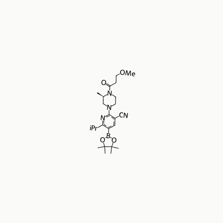 COCCC(=O)N1CCN(c2nc(C(C)C)c(B3OC(C)(C)C(C)(C)O3)cc2C#N)C[C@H]1C